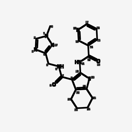 Cn1cnc(CNC(=O)c2c(NC(=O)c3cccnc3)sc3c2CCCC3)n1